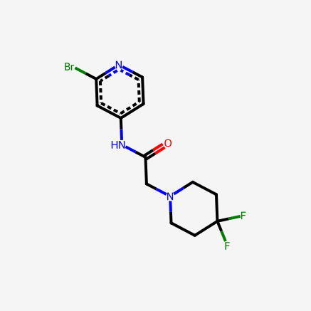 O=C(CN1CCC(F)(F)CC1)Nc1ccnc(Br)c1